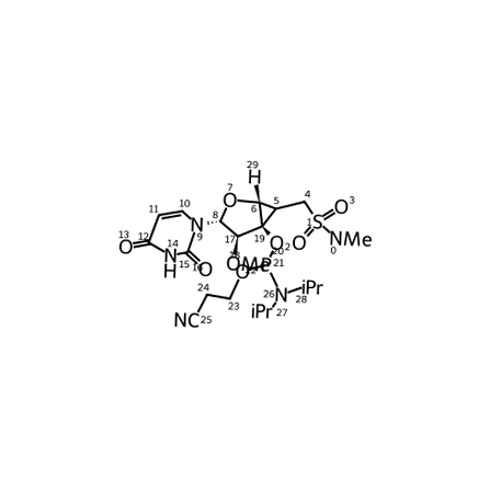 CNS(=O)(=O)CC1[C@H]2O[C@@H](n3ccc(=O)[nH]c3=O)[C@H](OC)[C@@]12OP(OCCC#N)N(C(C)C)C(C)C